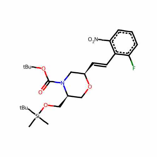 CC(C)(C)OC(=O)N1C[C@@H](C=Cc2c(F)cccc2[N+](=O)[O-])OC[C@H]1CO[Si](C)(C)C(C)(C)C